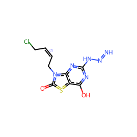 N=NNc1nc(O)c2sc(=O)n(C/C=C\CCl)c2n1